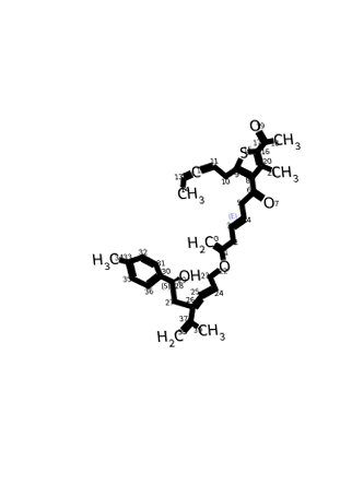 C=C(C/C=C/CC(=O)c1c(CC=C=CC)sc(C(C)=O)c1C)OCC=C=C(C[C@H](O)c1ccc(C)cc1)C(=C)C